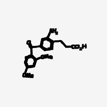 COc1ccc(C(=O)c2ccc(CCC(=O)O)c(N)c2)c(OC)c1